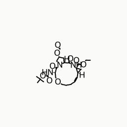 CCOC(=O)[C@@]12C[C@H]1/C=C\CCCOC[C@H](NC(=O)OC(C)(C)C)C(=O)N1C[C@H](OC=O)C[C@H]1C(=O)N2